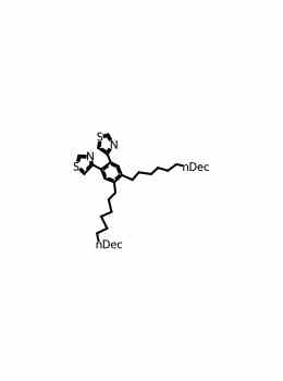 CCCCCCCCCCCCCCCCc1cc(-c2cscn2)c(-c2cscn2)cc1CCCCCCCCCCCCCCCC